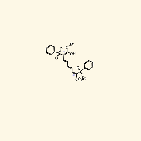 CCOC(=O)/C(=C/C=CC=C/C(=C(\O)OCC)S(=O)(=O)c1ccccc1)S(=O)(=O)c1ccccc1